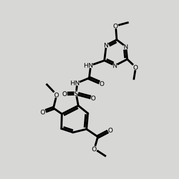 COC(=O)c1ccc(C(=O)OC)c(S(=O)(=O)NC(=O)Nc2nc(OC)nc(OC)n2)c1